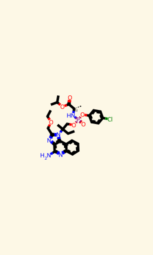 CCOCc1nc2c(N)nc3ccccc3c2n1C(C)(CC)COP(=O)(N[C@@H](C)C(=O)OC(C)C)Oc1ccc(Cl)cc1